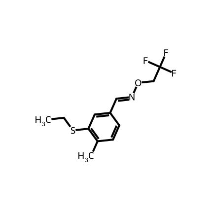 CCSc1cc(/C=N/OCC(F)(F)F)ccc1C